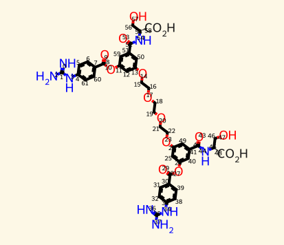 N=C(N)Nc1ccc(C(=O)Oc2cc(OCCOCCOCCOc3cc(OC(=O)c4ccc(NC(=N)N)cc4)cc(C(=O)N[C@H](CO)C(=O)O)c3)cc(C(=O)N[C@H](CO)C(=O)O)c2)cc1